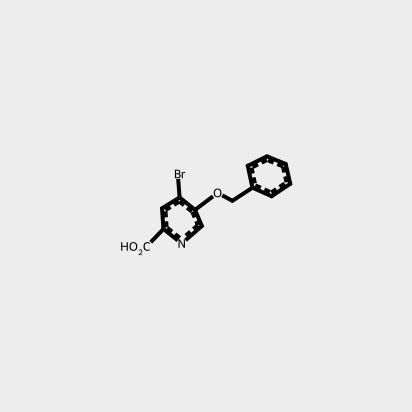 O=C(O)c1cc(Br)c(OCc2ccccc2)cn1